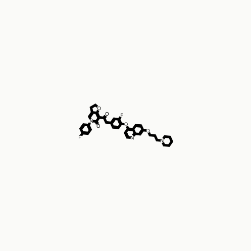 O=C(Cc1ccc(Oc2ccnc3cc(OCCCN4CCCCC4)ccc23)c(F)c1)c1c2c(cn(-c3ccc(F)cc3)c1=O)CCO2